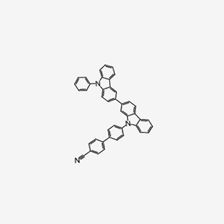 N#Cc1ccc(-c2ccc(-n3c4ccccc4c4ccc(-c5ccc6c(c5)c5ccccc5n6-c5ccccc5)cc43)cc2)cc1